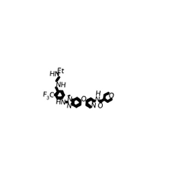 CCNCCNCc1ccc(Nc2nc3ccc(Oc4ccnc(NC(=O)C5CCOCC5)c4)cc3n2C)cc1C(F)(F)F